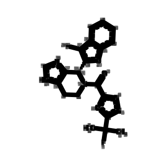 CC(C)(F)c1nnc(C(=O)N2CCc3[nH]cnc3[C@@H]2c2oc3ccccc3c2F)o1